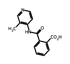 Cc1cnccc1NC(=O)c1ccccc1C(=O)O